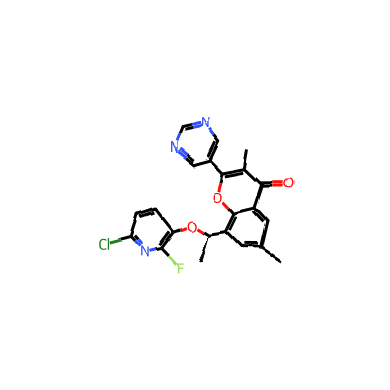 Cc1cc([C@@H](C)Oc2ccc(Cl)nc2F)c2oc(-c3cncnc3)c(C)c(=O)c2c1